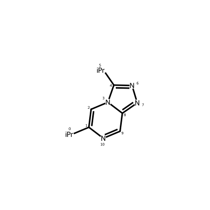 CC(C)c1cn2c(C(C)C)nnc2cn1